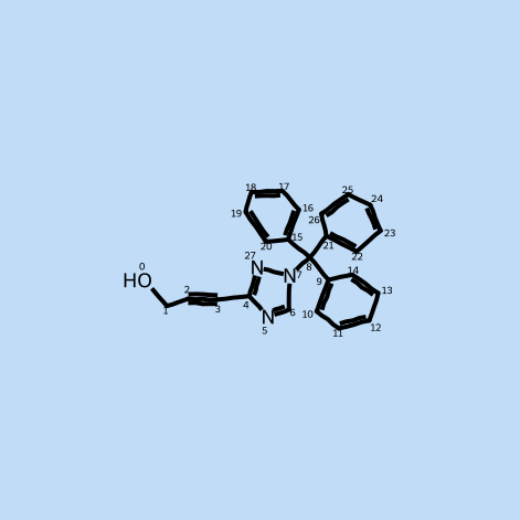 OCC#Cc1ncn(C(c2ccccc2)(c2ccccc2)c2ccccc2)n1